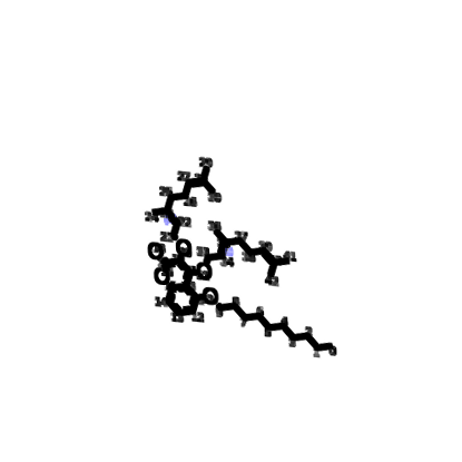 CCCCCCCCCCOc1cccc2oc(=O)c(OC/C=C(\C)CCC=C(C)C)c(OC/C=C(\C)CCC=C(C)C)c12